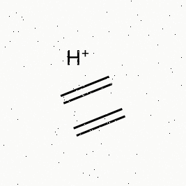 C=C.C=C.[H+]